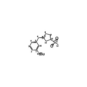 CC(C)(C)c1cccc(CN2CCC(S(C)(=O)=O)C2)c1